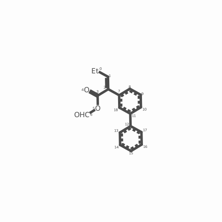 CCC=C(C(=O)OC=O)c1cccc(-c2ccccc2)c1